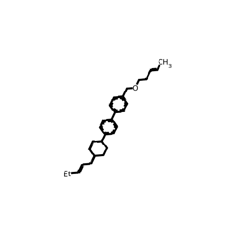 CC=CCCOCc1ccc(-c2ccc(C3CCC(CC=CCC)CC3)cc2)cc1